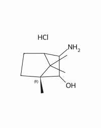 CC1(C)C2CC[C@@]1(C)C(O)C2N.Cl